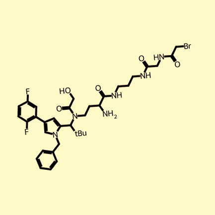 CC(C)(C)C(c1cc(-c2cc(F)ccc2F)cn1Cc1ccccc1)N(CCC(N)C(=O)NCCCNC(=O)CNC(=O)CBr)C(=O)CO